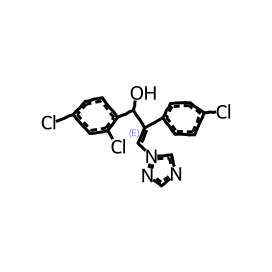 OC(/C(=C/n1cncn1)c1ccc(Cl)cc1)c1ccc(Cl)cc1Cl